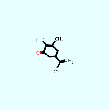 C=C(C)C1CC(=O)C(C)=C(C)C1